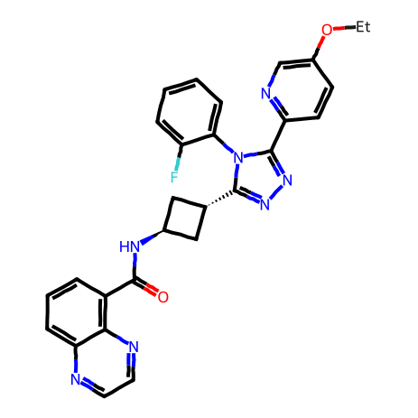 CCOc1ccc(-c2nnc([C@H]3C[C@H](NC(=O)c4cccc5nccnc45)C3)n2-c2ccccc2F)nc1